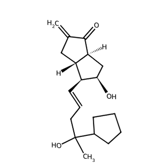 C=C1C[C@H]2[C@H](/C=C/CC(C)(O)C3CCCC3)[C@H](O)C[C@@H]2C1=O